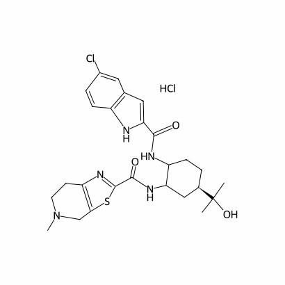 CN1CCc2nc(C(=O)NC3C[C@H](C(C)(C)O)CCC3NC(=O)c3cc4cc(Cl)ccc4[nH]3)sc2C1.Cl